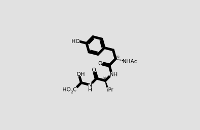 CC(=O)N[C@@H](Cc1ccc(O)cc1)C(=O)N[C@H](C(=O)NC(O)C(=O)O)C(C)C